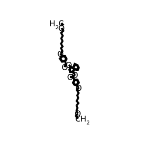 C=COCCCCCCCCCOc1ccc(C(=O)Oc2ccc(OC(=O)c3ccc(OCCCCCCCCCOC=C)cc3)c3ccccc23)cc1